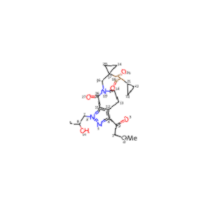 COCC(=O)c1nn(CC(C)O)c2c1CCN(CC1(S(=O)(=O)C3CC3)CC1)C2=O